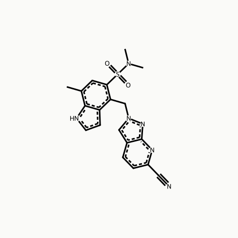 Cc1cc(S(=O)(=O)N(C)C)c(Cn2cc3ccc(C#N)nc3n2)c2cc[nH]c12